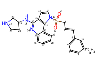 O=S(=O)(CC=Cc1cccc(C(F)(F)F)c1)n1ccc2c(N[C@@H]3CCNC3)nc3ccccc3c21